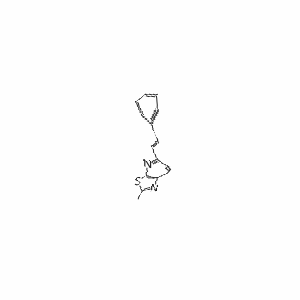 Cc1nc2ccc(C=Cc3ccccc3)nc2s1